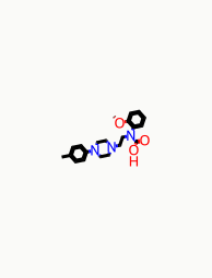 COc1ccccc1N(CCN1CCN(c2ccc(C)cc2)CC1)C(=O)O